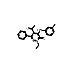 CCn1nc(-c2ccccc2)c(C(C)=O)c(Nc2cccc(C)c2)c1=O